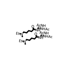 CCN(C)CCCCC(=O)[NH][Al]([NH]C(C)=O)[NH]C(C)=O.CCN(C)CCCCC(=O)[NH][Al]([NH]C(C)=O)[NH]C(C)=O